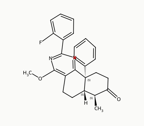 COc1nc(-c2ccccc2F)nc2c1CC[C@H]1[C@H](C)C(=O)CC[C@]21c1ccccc1